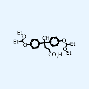 CCOC(CC)Oc1ccc(C(C)(CCC(=O)O)c2ccc(OC(CC)OCC)cc2)cc1